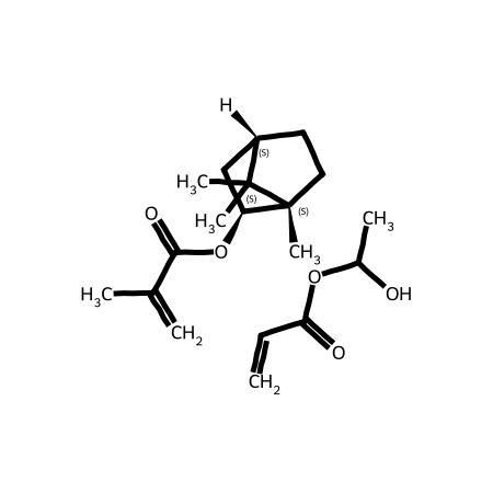 C=C(C)C(=O)O[C@H]1C[C@@H]2CC[C@@]1(C)C2(C)C.C=CC(=O)OC(C)O